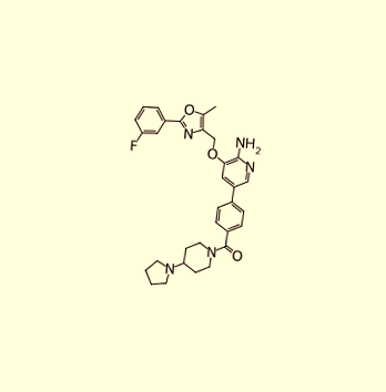 Cc1oc(-c2cccc(F)c2)nc1COc1cc(-c2ccc(C(=O)N3CCC(N4CCCC4)CC3)cc2)cnc1N